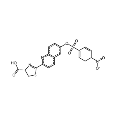 O=C(O)[C@H]1CSC(c2ccc3cc(OS(=O)(=O)C4=CCC([N+](=O)[O-])C=C4)ccc3n2)=N1